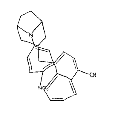 N#Cc1ccc(CC2CC3CCC(C2)N3c2ccc([N+](=O)[O-])cc2)c2ccccc12